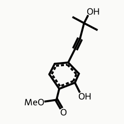 COC(=O)c1ccc(C#CC(C)(C)O)cc1O